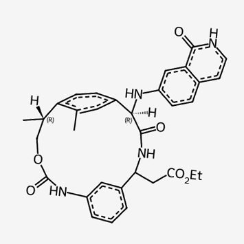 CCOC(=O)CC1NC(=O)[C@H](Nc2ccc3cc[nH]c(=O)c3c2)c2ccc(c(C)c2)[C@@H](C)COC(=O)Nc2cccc1c2